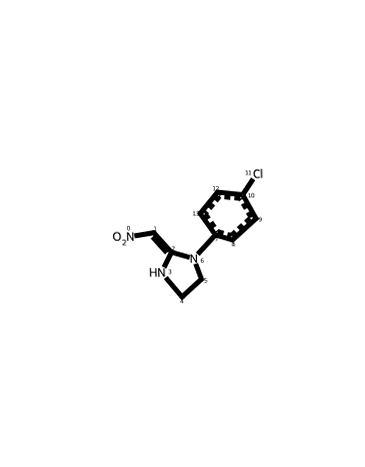 O=[N+]([O-])C=C1NCCN1c1ccc(Cl)cc1